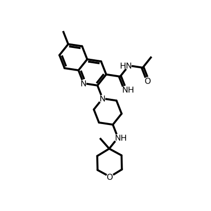 CC(=O)NC(=N)c1cc2cc(C)ccc2nc1N1CCC(NC2(C)CCOCC2)CC1